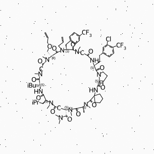 C=CCOC[C@@H]1C(=O)N(CC=C)[C@@H](Cc2ccc(C(F)(F)F)cc2)C(=O)N(C)CC(=O)N[C@@H](CCc2ccc(C(F)(F)F)c(Cl)c2)C(=O)N2CCC[C@H]2C(=O)NC2(CCCC2)C(=O)N(C)[C@@H](C)C(=O)N(C)[C@H](C(=O)N(C)C)CC(=O)N(C)[C@@H](CC(C)C)C(=O)N[C@@H]([C@@H](C)CC)C(=O)N(C)CC(=O)N1C